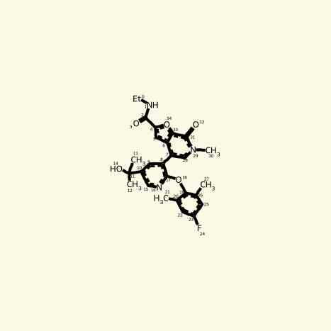 CCNC(=O)c1cc2c(-c3cc(C(C)(C)O)cnc3Oc3c(C)cc(F)cc3C)cn(C)c(=O)c2o1